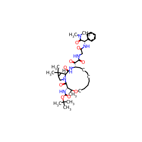 CC1OCCCCCCCC[C@@H](C(=O)C(=O)NCC(=O)N[C@H](C(=O)N(C)C)c2ccccc2)NC(=O)[C@@H]2C3C(CN2C(=O)[C@H]1NC(=O)OC(C)(C)C)C3(C)C